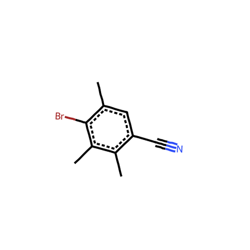 Cc1cc(C#N)c(C)c(C)c1Br